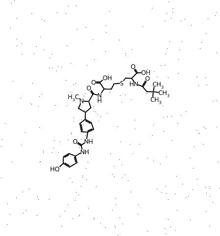 CN1CC(c2ccc(NC(=O)Nc3ccc(O)cc3)cc2)CC1C(=O)NC(CCSCC(NC(=O)CC(C)(C)C)C(=O)O)C(=O)O